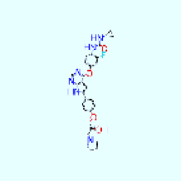 O=C(Nc1ccc(Oc2ncnc3[nH]c(-c4ccc(OC[C@@H](O)CN5CCCC5)cc4)cc23)cc1F)NC1CC1